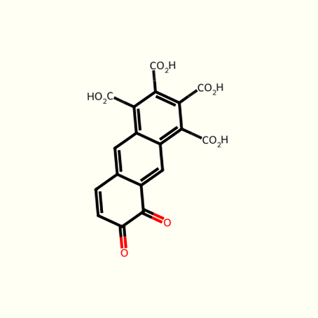 O=C1C=Cc2cc3c(C(=O)O)c(C(=O)O)c(C(=O)O)c(C(=O)O)c3cc2C1=O